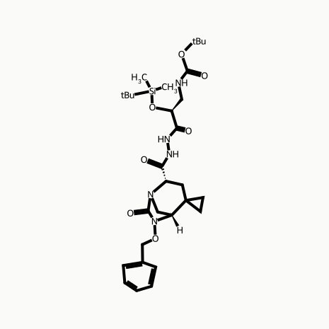 CC(C)(C)OC(=O)NC[C@H](O[Si](C)(C)C(C)(C)C)C(=O)NNC(=O)[C@@H]1CC2(CC2)[C@H]2CN1C(=O)N2OCc1ccccc1